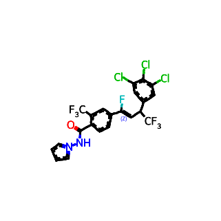 O=C(Nn1cccc1)c1ccc(/C(F)=C/C(c2cc(Cl)c(Cl)c(Cl)c2)C(F)(F)F)cc1C(F)(F)F